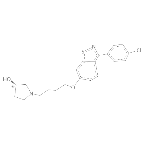 O[C@@H]1CCN(CCCCOc2ccc3c(-c4ccc(Cl)cc4)nsc3c2)C1